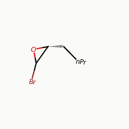 CCCC[C@H]1OC1Br